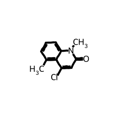 Cc1cccc2c1c(Cl)cc(=O)n2C